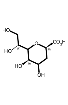 O=C(O)[C@H]1CC(O)[C@@H](O)C([C@H](O)CO)O1